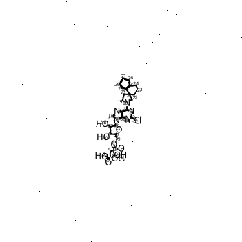 O=P(O)(O)CP(=O)(O)OCC1OC(n2cnc3c(N4CCC5(CCCc6ccccc65)C4)nc(Cl)nc32)C(O)C1O